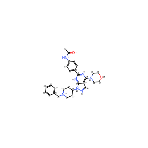 CC(=O)Nc1ccc(-c2nc(N3CCOCC3)c3cnn(C4CCN(Cc5ccccc5)CC4)c3n2)cc1